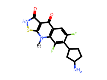 CCn1c2s[nH]c(=O)c2c(=O)c2cc(F)c(C3CCC(N)C3)c(F)c21